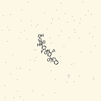 C[C@@H]1c2ccccc2CCN1C(=O)c1cc(C2CC2)c2nc(-c3ccc(NC(=O)N4CC[C@@H](O)C4)cc3F)oc2c1